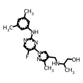 Cc1cc(C)cc(Nc2ncc(F)c(-n3cc(CNC(C)CO)c(C)n3)n2)c1